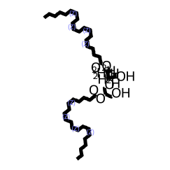 [2H]C([2H])(O)C([2H])(OCC(CO)OC(=O)CCC/C=C\C/C=C\C/C=C\C/C=C\CCCCC)C([2H])([2H])OC(=O)CCC/C=C\C/C=C\C/C=C\C/C=C\CCCCC